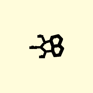 CCCCCCCCC1C(CCCC)c2cccc3cccc(c23)N1CCCC